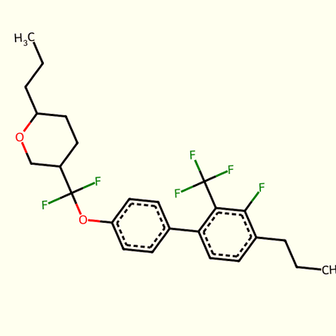 CCCc1ccc(-c2ccc(OC(F)(F)C3CCC(CCC)OC3)cc2)c(C(F)(F)F)c1F